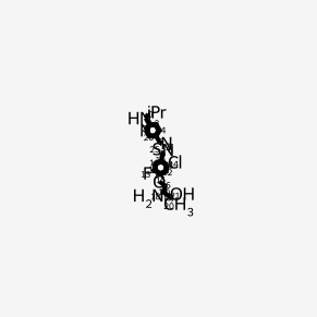 CC(C)Nc1ccc(-c2nnc(-c3cc(F)c(OC[C@@H](N)[C@H](C)O)cc3Cl)s2)cn1